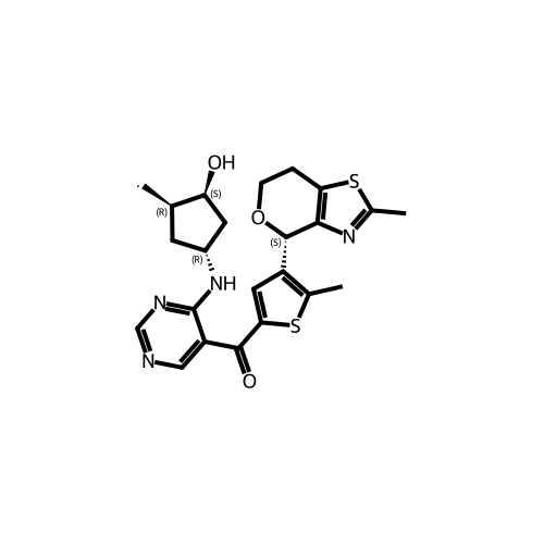 [CH2][C@@H]1C[C@@H](Nc2ncncc2C(=O)c2cc([C@@H]3OCCc4sc(C)nc43)c(C)s2)C[C@@H]1O